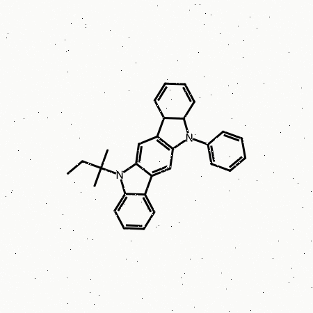 CCC(C)(C)n1c2ccccc2c2cc3c(cc21)C1C=CC=CC1N3c1ccccc1